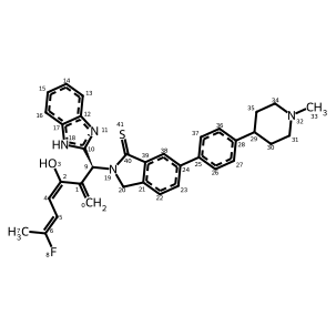 C=C(/C(O)=C\C=C(/C)F)[C@@H](c1nc2ccccc2[nH]1)N1Cc2ccc(-c3ccc(C4CCN(C)CC4)cc3)cc2C1=S